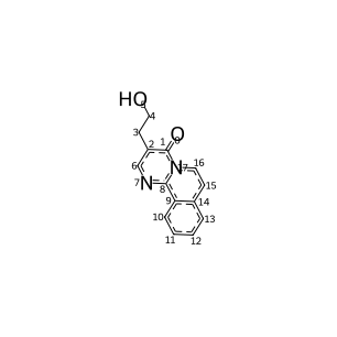 O=c1c(CCO)cnc2c3ccccc3ccn12